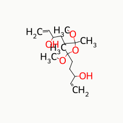 C=CC(O)CCC(C)(OC)OC(C)(CCC(O)C=C)OC